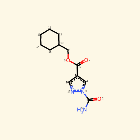 NC(=O)n1cc(C(=O)OCC2CCCCC2)cn1